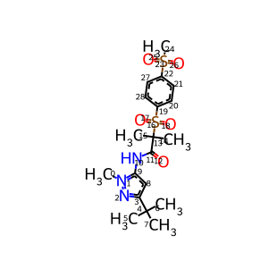 Cn1nc(C(C)(C)C)cc1NC(=O)C(C)(C)S(=O)(=O)c1ccc(S(C)(=O)=O)cc1